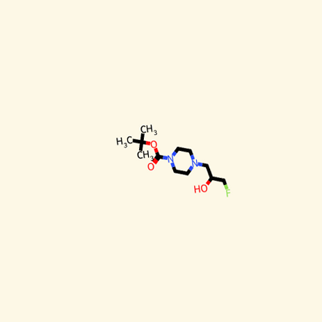 CC(C)(C)OC(=O)N1CCN(CC(O)CF)CC1